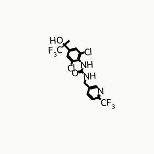 C[C@@](O)(c1cc(Cl)c(NC(=O)NCc2ccc(C(F)(F)F)nc2)c(Cl)c1)C(F)(F)F